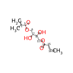 C=C(C)C(=O)OCC(O)C(O)COC(=O)C=CC